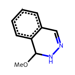 COC1NN=Cc2c[c]ccc21